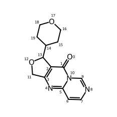 O=c1c2c(nc3ccncn13)COC2C1CCOCC1